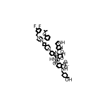 CC(C)Oc1ccccc1[C@H]1CN(Cc2ccc(F)c(F)c2)CCN1C1CC2(CCN(c3ccc(C(=O)NS(=O)(=O)c4ccc(NCC5CCC(C)(O)CC5)c([N+](=O)[O-])c4)c(N4c5cc6cc[nH]c6nc5O[C@H]5COCC[C@@H]54)c3)CC2)C1